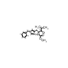 COC(=O)N[C@@H](Cc1cn(Cc2ccccc2)cn1)C(=O)C(C)C